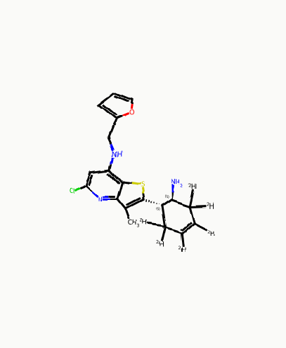 [2H]C1=C([2H])C([2H])([2H])[C@H](c2sc3c(NCc4ccco4)cc(Cl)nc3c2C)[C@@H](N)C1([2H])[2H]